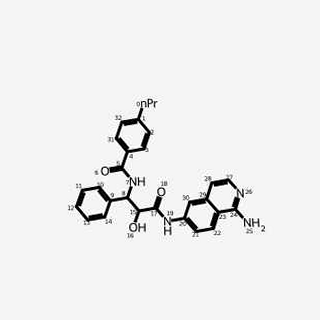 CCCc1ccc(C(=O)NC(c2ccccc2)C(O)C(=O)Nc2ccc3c(N)nccc3c2)cc1